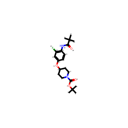 CC(C)(C)OC(=O)N1CCC(Oc2ccc(NC(=O)C(C)(C)C)c(F)c2)CC1